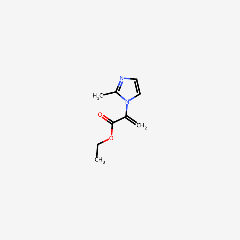 C=C(C(=O)OCC)n1ccnc1C